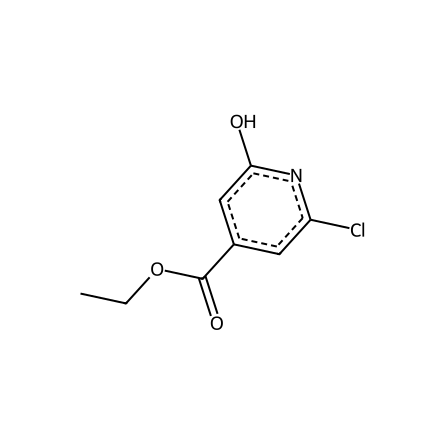 CCOC(=O)c1cc(O)nc(Cl)c1